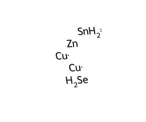 [Cu].[Cu].[SeH2].[SnH2].[Zn]